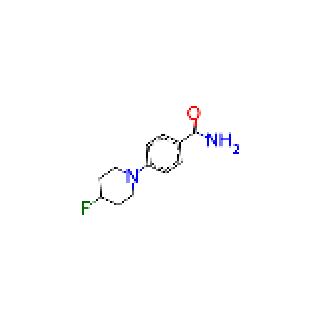 NC(=O)c1ccc(N2CCC(F)CC2)cc1